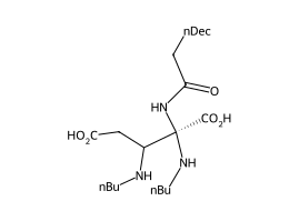 CCCCCCCCCCCC(=O)N[C@](NCCCC)(C(=O)O)C(CC(=O)O)NCCCC